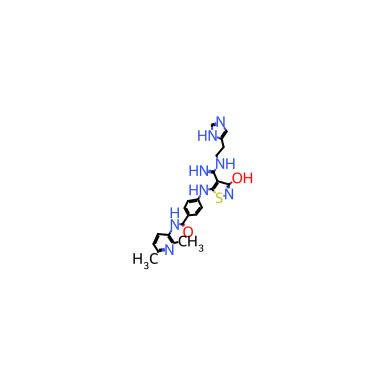 Cc1ccc(NC(=O)c2ccc(Nc3snc(O)c3C(=N)NCCc3cnc[nH]3)cc2)c(C)n1